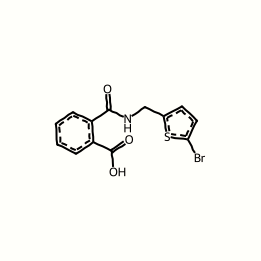 O=C(O)c1ccccc1C(=O)NCc1ccc(Br)s1